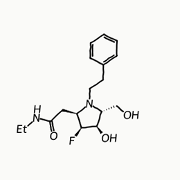 CCNC(=O)C[C@@H]1[C@H](F)[C@H](O)[C@@H](CO)N1CCc1ccccc1